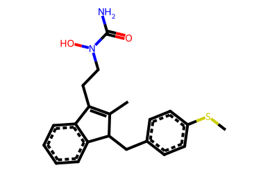 CSc1ccc(CC2C(C)=C(CCN(O)C(N)=O)c3ccccc32)cc1